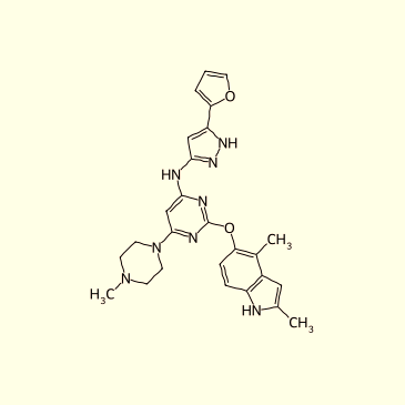 Cc1cc2c(C)c(Oc3nc(Nc4cc(-c5ccco5)[nH]n4)cc(N4CCN(C)CC4)n3)ccc2[nH]1